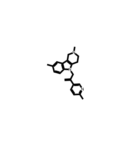 C=C(Cn1c2c(c3cc(C)ccc31)CN(C)CC2)c1ccc(C)nc1